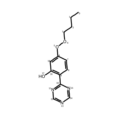 CCCCOOc1ccc(-c2ncncn2)c(O)c1